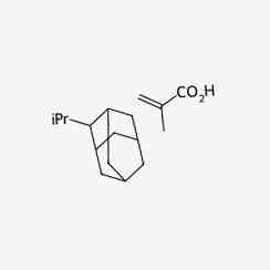 C=C(C)C(=O)O.CC(C)C1C2CC3CC(C2)CC1C3